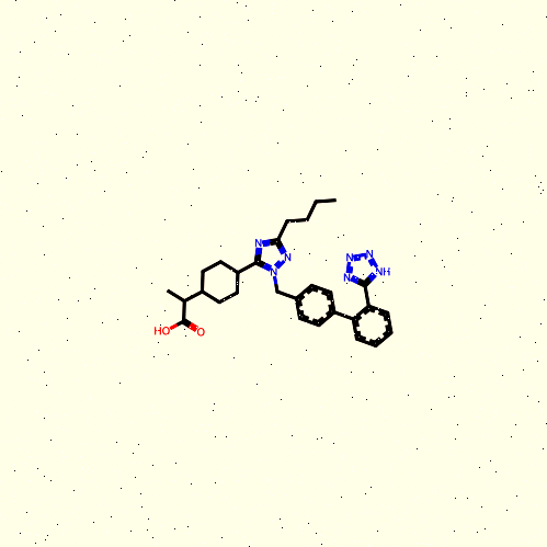 CCCCc1nc(C2CCC(C(C)C(=O)O)CC2)n(Cc2ccc(-c3ccccc3-c3nnn[nH]3)cc2)n1